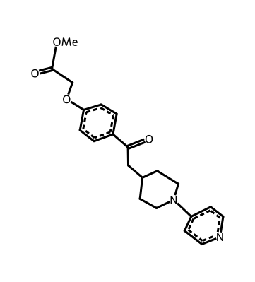 COC(=O)COc1ccc(C(=O)CC2CCN(c3ccncc3)CC2)cc1